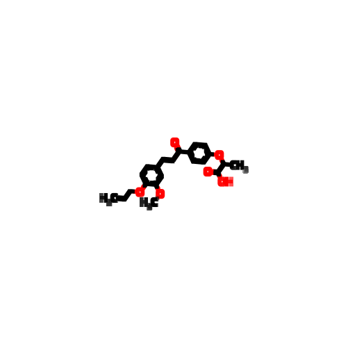 C=CCOc1ccc(/C=C/C(=O)c2ccc(OC(C)C(=O)O)cc2)cc1OC